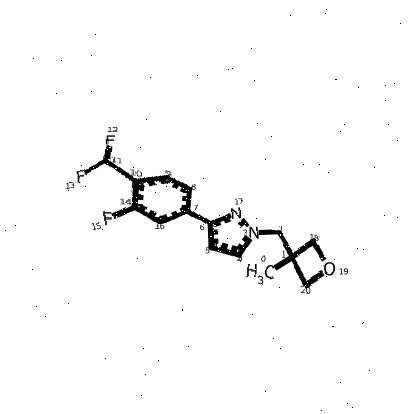 CC1(Cn2ccc(-c3ccc(C(F)F)c(F)c3)n2)COC1